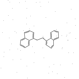 [C]([CH]c1cccc2ccccc12)c1cccc2ccccc12